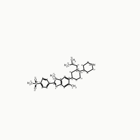 Cc1cc2nc(-c3ccc(S(C)(=O)=O)cc3)n(C)c2cc1C1CCN(C2CCNCC2)[C@H](CC(C)C)C1